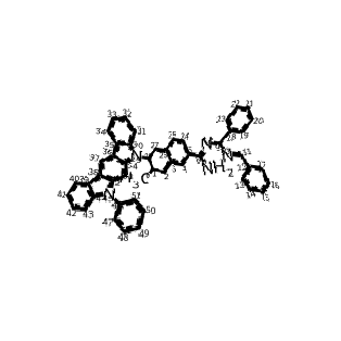 CC1C=c2cc(/C(N)=N/C(/N=C/c3ccccc3)c3ccccc3)ccc2=CC1n1c2ccccc2c2cc3c4ccccc4n(-c4ccccc4)c3cc21